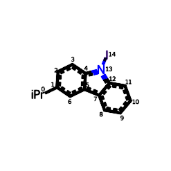 CC(C)c1ccc2c(c1)c1ccccc1n2I